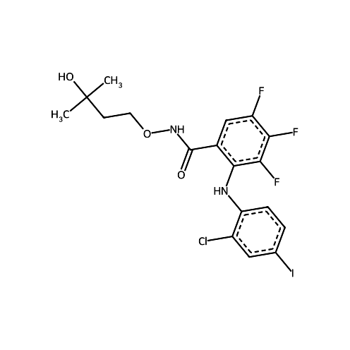 CC(C)(O)CCONC(=O)c1cc(F)c(F)c(F)c1Nc1ccc(I)cc1Cl